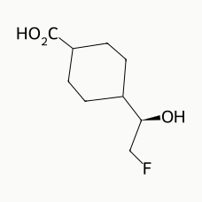 O=C(O)C1CCC([C@@H](O)CF)CC1